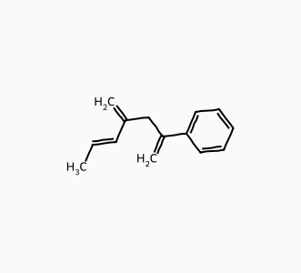 C=C(C=CC)CC(=C)c1ccccc1